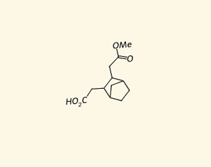 COC(=O)CC1C2CCC(C2)C1CC(=O)O